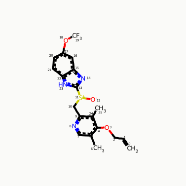 C=CCOc1c(C)cnc(C[S+]([O-])c2nc3cc(OC(F)(F)F)ccc3[nH]2)c1C